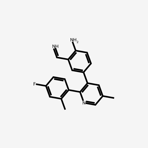 Cc1cnc(-c2ccc(F)cc2C)c(-c2ccc(N)c(C=N)c2)c1